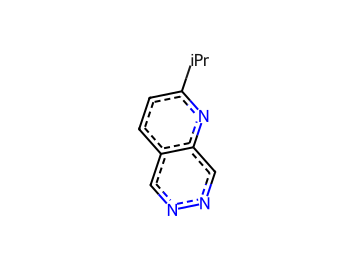 CC(C)c1ccc2cnncc2n1